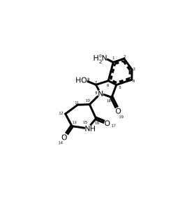 Nc1cccc2c1C(O)N(C1CCC(=O)NC1=O)C2=O